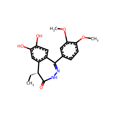 CC[C@H]1C(=O)NN=C(c2ccc(OC)c(OC)c2)c2cc(O)c(O)cc21